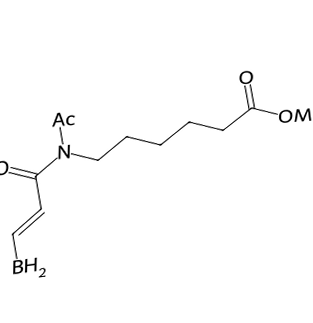 B/C=C/C(=O)N(CCCCCC(=O)OC)C(C)=O